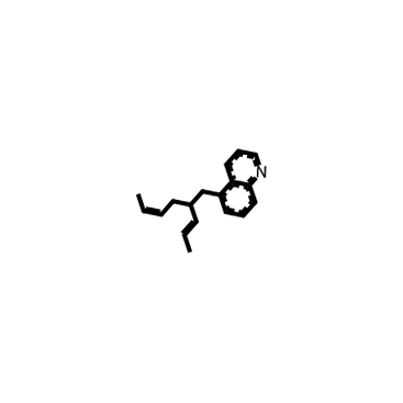 C/C=C\CC(/C=C/C)Cc1cccc2ncccc12